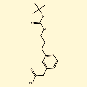 CC(C)(C)OC(=O)NCCOc1cccc(CC(=O)O)c1